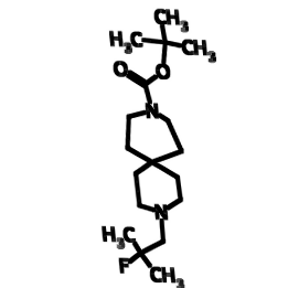 CC(C)(F)CN1CCC2(CC1)CCN(C(=O)OC(C)(C)C)CC2